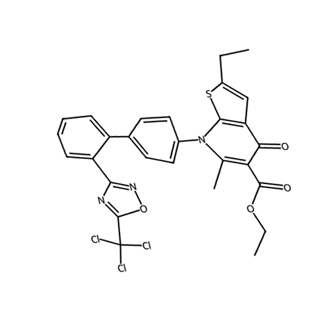 CCOC(=O)c1c(C)n(-c2ccc(-c3ccccc3-c3noc(C(Cl)(Cl)Cl)n3)cc2)c2sc(CC)cc2c1=O